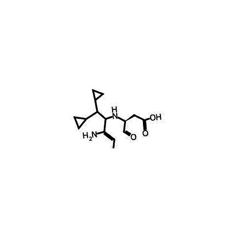 CC=C(N)C(N[C@H](C=O)CC(=O)O)C(C1CC1)C1CC1